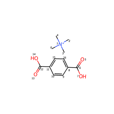 C[N+](C)(C)C.O=C(O)c1ccc(C(=O)O)cc1